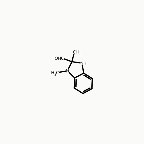 CN1c2ccccc2NC1(C)C=O